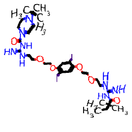 CCC(C)(C)C(=O)NC(=N)NCCOCCOc1cc(I)c(OCCOCCNC(=N)NC(=O)N2CCN(C(C)(C)C)CC2)cc1I